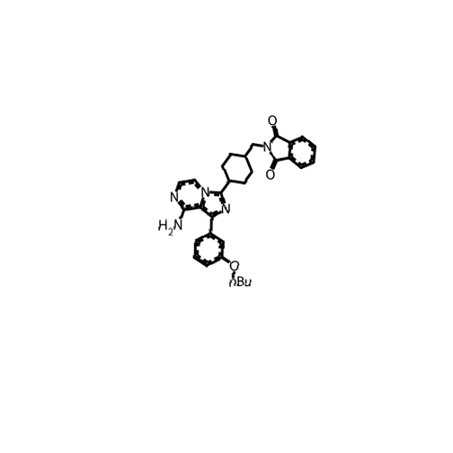 CCCCOc1cccc(-c2nc(C3CCC(CN4C(=O)c5ccccc5C4=O)CC3)n3ccnc(N)c23)c1